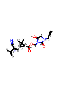 C#CCN1CC(=O)N(COC(=O)[C@@H]2[C@@H](/C=C(\C#N)C(=C)C)C2(C)C)C1=O